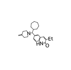 C=C1CCN(C(c2ccc3[nH]c(=O)c(CC)cc3c2)C2CCCCCC2)CC1